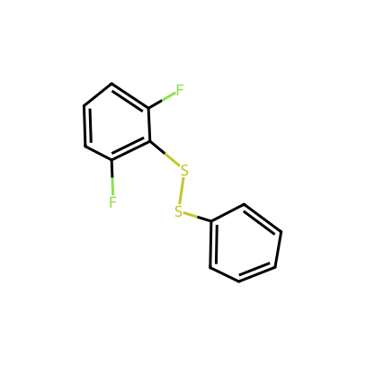 Fc1cccc(F)c1SSc1ccccc1